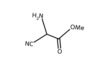 COC(=O)C(N)C#N